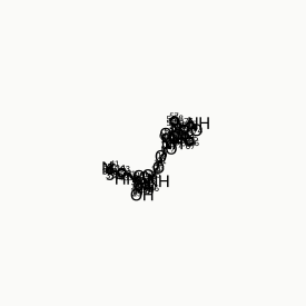 CO[C@@H]1[C@H](N(C)C(=O)CCOCCOCCC(=O)N[C@H](C(=O)N2C[C@H](O)C[C@H]2C(=O)NCc2ccc(-c3scnc3C)cc2)C(C)(C)C)C[C@H]2O[C@]1(C)n1c3ccccc3c3c4c(c5c6ccccc6n2c5c31)C(=O)NC4